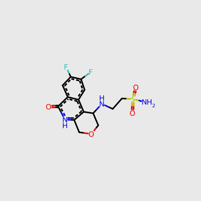 NS(=O)(=O)CCNC1COCc2[nH]c(=O)c3cc(F)c(F)cc3c21